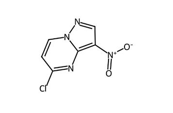 O=[N+]([O-])c1cnn2ccc(Cl)nc12